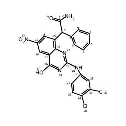 NC(=O)C(c1ccccc1)c1cc([N+](=O)[O-])cc2c(O)nc(Nc3ccc(Cl)c(Cl)c3)nc12